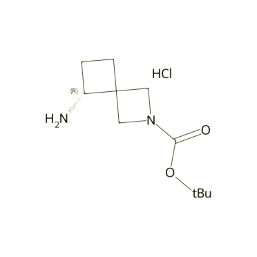 CC(C)(C)OC(=O)N1CC2(CC[C@H]2N)C1.Cl